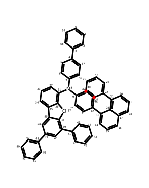 c1ccc(-c2ccc(N(c3ccc(-c4cccc5cccc(-c6ccccc6)c45)cc3)c3cccc4c3oc3c(-c5ccccc5)cc(-c5ccccc5)cc34)cc2)cc1